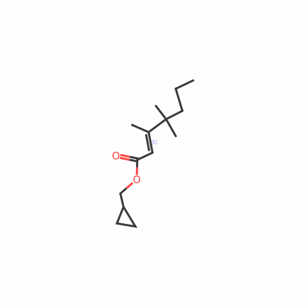 CCCC(C)(C)/C(C)=C/C(=O)OCC1CC1